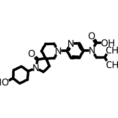 CC(C)CN(C(=O)O)c1ccc(N2CCCC3(CCN(C4CCC(O)CC4)C3=O)C2)nc1